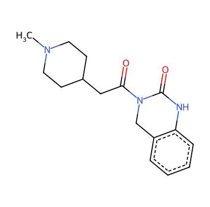 CN1CCC(CC(=O)N2Cc3ccccc3NC2=O)CC1